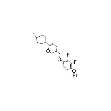 CCOc1ccc(OCC2CC=C(C3CCC(C)CC3)OC2)c(F)c1F